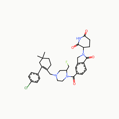 CC1(C)CCC(CN2CCN(C(=O)c3ccc4c(c3)CN(C3CCC(=O)NC3=O)C4=O)C(CF)C2)=C(c2ccc(Cl)cc2)C1